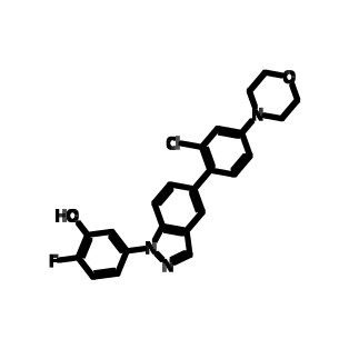 Oc1cc(-n2ncc3cc(-c4ccc(N5CCOCC5)cc4Cl)ccc32)ccc1F